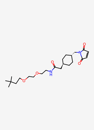 CC(C)(C)CCOCCOCCNC(=O)C[C@H]1CC[C@H](CN2C(=O)C=CC2=O)CC1